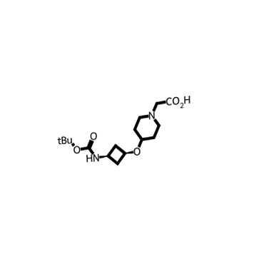 CC(C)(C)OC(=O)N[C@H]1C[C@@H](OC2CCN(CC(=O)O)CC2)C1